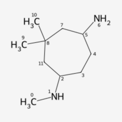 CNC1CCC(N)CC(C)(C)C1